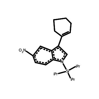 CC(C)[Si](C(C)C)(C(C)C)n1cc(C2=CCCCC2)c2cc([N+](=O)[O-])ccc21